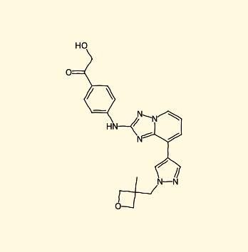 CC1(Cn2cc(-c3cccn4nc(Nc5ccc(C(=O)CO)cc5)nc34)cn2)COC1